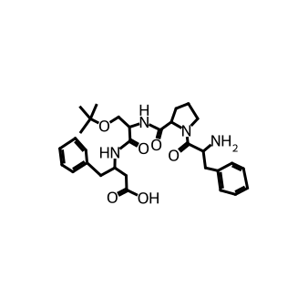 CC(C)(C)OCC(NC(=O)C1CCCN1C(=O)C(N)Cc1ccccc1)C(=O)NC(CC(=O)O)Cc1ccccc1